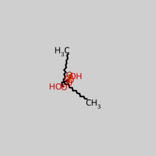 CCCCCCCCCCCCCC(CCCCCCCCCCCCC)(CC(=O)O)C(=O)OS(=O)(=O)O